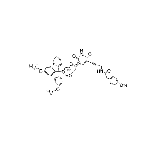 COc1ccc(C(OC[C@H]2O[C@@H](n3cc(C#CCNC(=O)Cc4ccc(O)cc4)c(=O)[nH]c3=O)CC2O)(c2ccccc2)c2ccc(OC)cc2)cc1